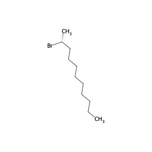 CCCCCCCCC[C@@H](C)Br